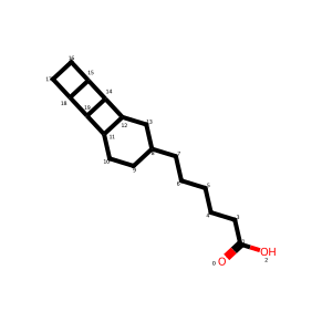 O=C(O)CCCCCC1CCC2C(C1)C1C3CCC3C21